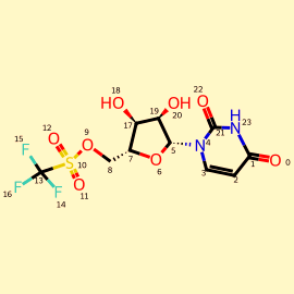 O=c1ccn([C@@H]2O[C@H](COS(=O)(=O)C(F)(F)F)[C@@H](O)[C@H]2O)c(=O)[nH]1